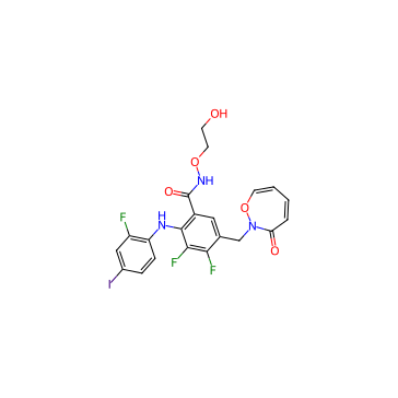 O=C(NOCCO)c1cc(CN2OC=CC=CC2=O)c(F)c(F)c1Nc1ccc(I)cc1F